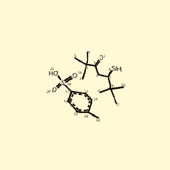 CC(C)(C)C(=O)CC(S)C(C)(C)C.Cc1ccc(S(=O)(=O)O)cc1